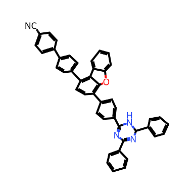 N#Cc1ccc(-c2ccc(-c3ccc(-c4ccc(C5=NC(c6ccccc6)=NC(c6ccccc6)N5)cc4)c4oc5ccccc5c34)cc2)cc1